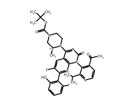 CC(=O)c1ccnc(C(C)C)c1-n1c(=O)nc(N2CCN(C(=O)OC(C)(C)C)C[C@@H]2C)c2cc(F)c(-c3c(O)cccc3F)nc21